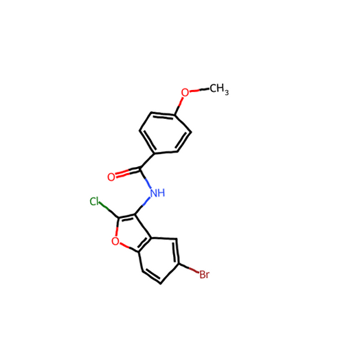 COc1ccc(C(=O)Nc2c(Cl)oc3ccc(Br)cc23)cc1